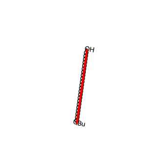 CCC(C)C(=O)COCCCOCCCOCCCOCCCOCCCOCCCOCCCOCCCOCCCOCCCOCCCOCCCOCCCOCCCOCCCOCCCOCCCOCCCOCCCOCCCOCCCOCCCCO